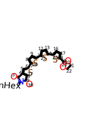 CCCCCCN1C(=O)c2cc(-c3ccc(-c4ccc(-c5ccc(C6OCCO6)s5)s4)s3)sc2C1=O